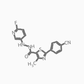 Cc1nc(-c2ccc(C#N)cc2)sc1C(=O)NNc1ccc(F)nc1